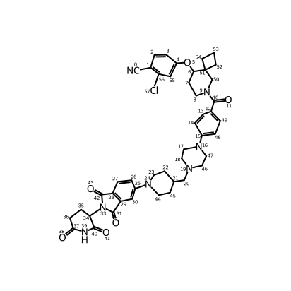 N#Cc1ccc(OC2CCN(C(=O)c3ccc(N4CCN(CC5CCN(c6ccc7c(c6)C(=O)N(C6CCC(=O)NC6=O)C7=O)CC5)CC4)cc3)CC23CCC3)cc1Cl